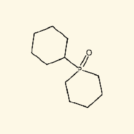 O=P1(C2CCCCC2)CCCCC1